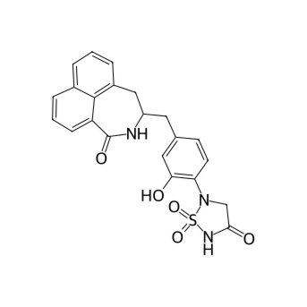 O=C1CN(c2ccc(CC3Cc4cccc5cccc(c45)C(=O)N3)cc2O)S(=O)(=O)N1